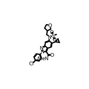 CNC(=O)c1c2cc(C3CC3)c(N(CC3CCOC3)S(C)(=O)=O)cc2nn1-c1ccc(Cl)cc1